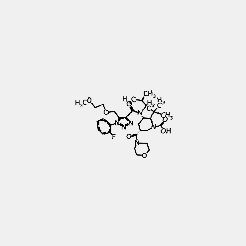 COCCOCc1c(C(=O)N(CC(C)C)[C@H]2C[C@@H](C(=O)N3CCOCC3)CN(C(=O)O)C2C(C)(C)C)nnn1-c1ccccc1F